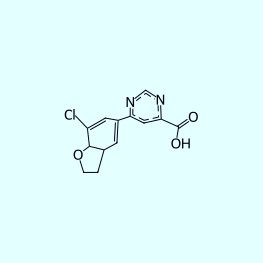 O=C(O)c1cc(C2=CC3CCOC3C(Cl)=C2)ncn1